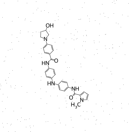 Cn1cccc1C(=O)Nc1ccc(Nc2ccc(NC(=O)c3ccc(N4CCC(O)C4)cc3)cc2)cc1